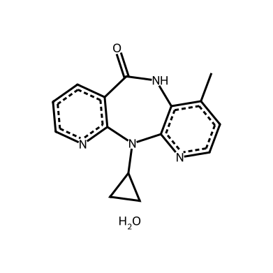 Cc1ccnc2c1NC(=O)c1cccnc1N2C1CC1.O